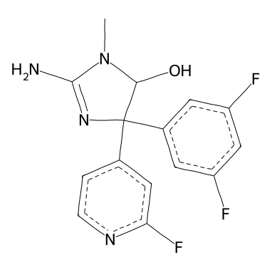 CN1C(N)=NC(c2cc(F)cc(F)c2)(c2ccnc(F)c2)C1O